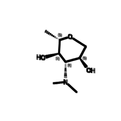 C[C@@H]1OC[C@@H](O)[C@H](N(C)C)[C@H]1O